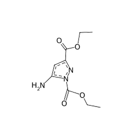 CCOC(=O)c1cc(N)n(C(=O)OCC)n1